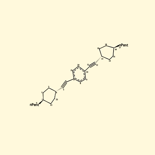 CCCCC[C@H]1CC[C@H](C#Cc2ccc(C#C[C@H]3CC[C@H](CCCCC)CC3)cc2)CC1